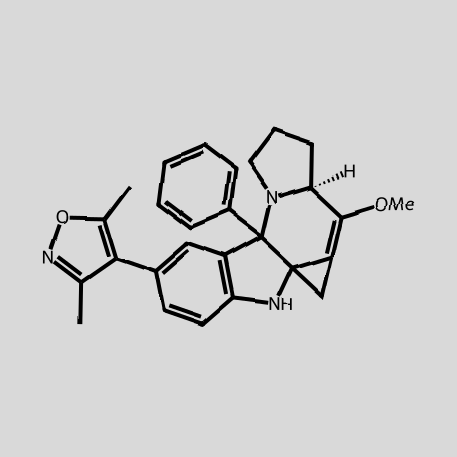 COC1=C2CC23Nc2ccc(-c4c(C)noc4C)cc2C3(c2ccccc2)N2CCC[C@@H]12